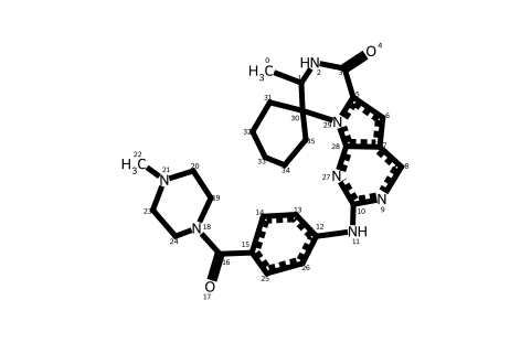 CC1NC(=O)c2cc3cnc(Nc4ccc(C(=O)N5CCN(C)CC5)cc4)nc3n2C12CCCCC2